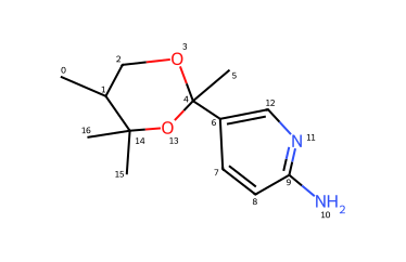 CC1COC(C)(c2ccc(N)nc2)OC1(C)C